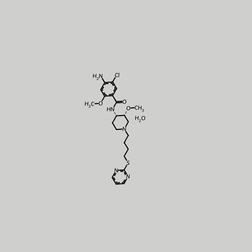 COc1cc(N)c(Cl)cc1C(=O)N[C@H]1CCN(CCCCSc2ncccn2)C[C@H]1OC.O